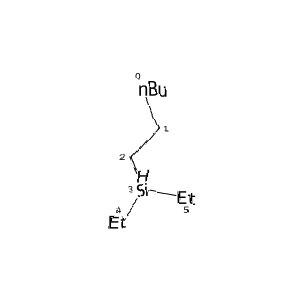 CCCCCC[SiH](CC)CC